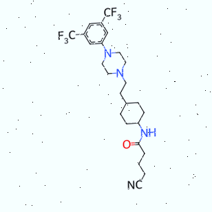 N#CCCCC(=O)NC1CCC(CCN2CCN(c3cc(C(F)(F)F)cc(C(F)(F)F)c3)CC2)CC1